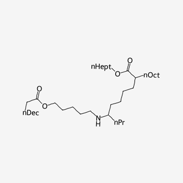 CCCCCCCCCCCC(=O)OCCCCCNC(CCC)CCCCC(CCCCCCCC)C(=O)OCCCCCCC